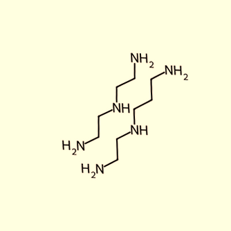 NCCCNCCN.NCCNCCN